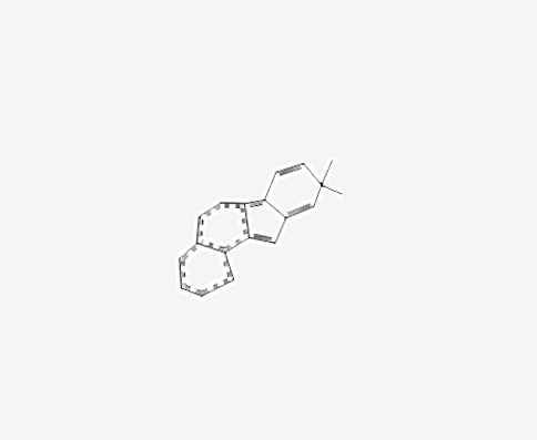 CC1(C)C=CC2=c3ccc4ccccc4c3=CC2=C1